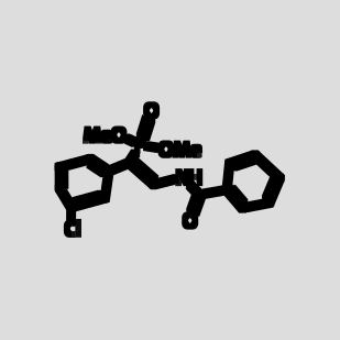 COP(=O)(OC)C(=CNC(=O)c1ccccc1)c1cccc(Cl)c1